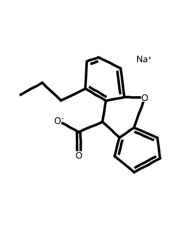 CCCc1cccc2c1C(C(=O)[O-])c1ccccc1O2.[Na+]